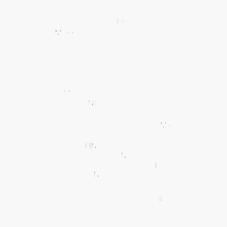 CCOc1ccc(C(=O)NCC(=O)Nc2nc3ccc(F)c(F)c3n2CCOC)cc1OC